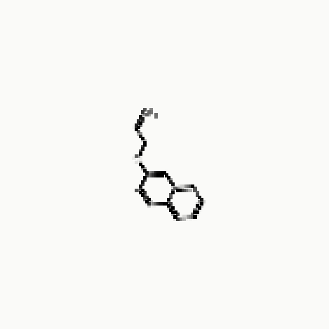 C=CCOc1[c]cc2ccccc2c1